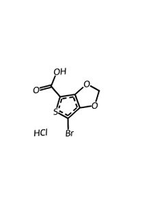 Cl.O=C(O)c1sc(Br)c2c1OCO2